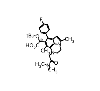 Cc1c([C@H](OC(C)(C)C)C(=O)O)c(-c2ccc(F)cc2)c2cc(C)n3c2c1N(CC(=O)N(C)C)CC3